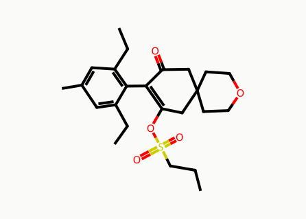 CCCS(=O)(=O)OC1=C(c2c(CC)cc(C)cc2CC)C(=O)CC2(CCOCC2)C1